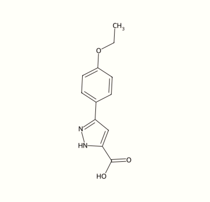 CCOc1ccc(-c2cc(C(=O)O)[nH]n2)cc1